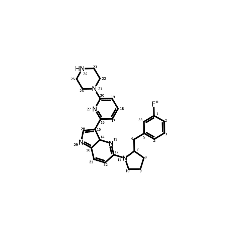 Fc1cccc(CC2CCCN2C2=NC3C(c4cccc(N5CCNCC5)n4)=CN=C3C=C2)c1